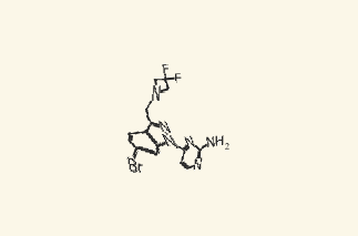 Nc1nccc(-n2nc(CN3CC(F)(F)C3)c3ccc(Br)cc32)n1